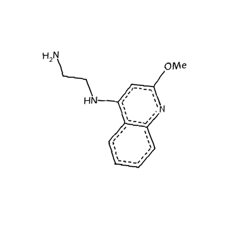 COc1cc(NCCN)c2ccccc2n1